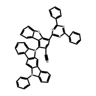 N#Cc1cc(-c2nc(-c3ccccc3)nc(-c3ccccc3)n2)c2oc3ccccc3c2c1-n1c2ccccc2c2cc3c(cc21)c1ccccc1n3-c1ccccc1